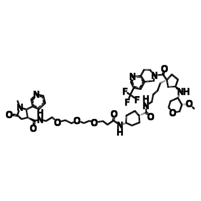 CO[C@@H]1COCC[C@@H]1N[C@@H]1CC[C@](CCCCNC(=O)[C@H]2CC[C@@H](NC(=O)CCOCCOCCOCCNC(=O)[C@H]3CC(=O)N(C)C3c3cccnc3)CC2)(C(=O)N2CCc3ncc(C(F)(F)F)cc3C2)C1